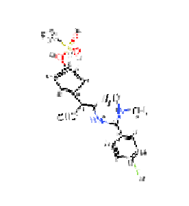 CN(C)C(NCC(C=O)c1ccc(OS(=O)(=O)C(F)(F)F)cc1)c1ccc(F)cc1